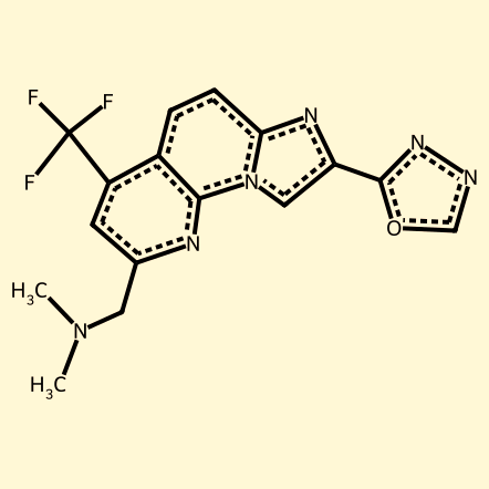 CN(C)Cc1cc(C(F)(F)F)c2ccc3nc(-c4nnco4)cn3c2n1